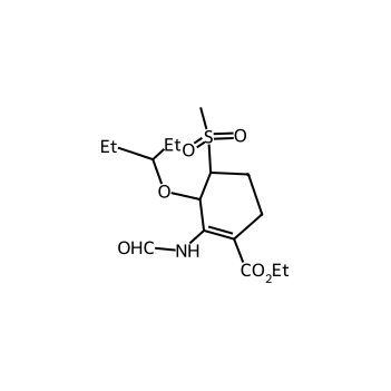 CCOC(=O)C1=C(NC=O)C(OC(CC)CC)C(S(C)(=O)=O)CC1